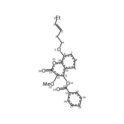 CCC=CCCOc1cccc2c(OC(=O)c3ccccc3)c(OC)c(=O)oc12